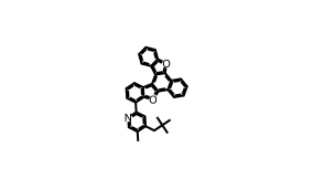 Cc1cnc(-c2cccc3c2oc2c4ccccc4c4oc5ccccc5c4c32)cc1CC(C)(C)C